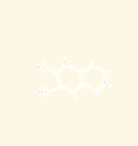 Cc1cc2cnccc2nc1C